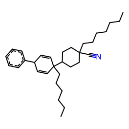 CCCCCCCC1(C#N)CCC(C2(CCCCCC)C=CC(c3ccccc3)C=C2)CC1